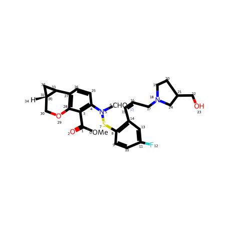 COC(=O)c1c(N(C=O)Sc2ccc(F)cc2/C=C\CN2CCC(CO)C2)ccc2c1OC[C@@H]1CC21